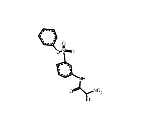 CCC(C(=O)Nc1cccc(S(=O)(=O)Oc2ccccc2)c1)[N+](=O)[O-]